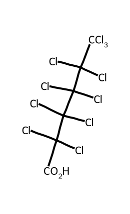 O=C(O)C(Cl)(Cl)C(Cl)(Cl)C(Cl)(Cl)C(Cl)(Cl)C(Cl)(Cl)Cl